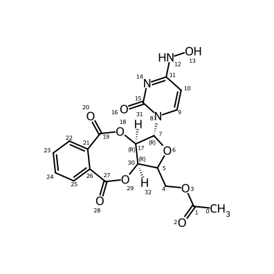 CC(=O)OCC1O[C@@H](n2ccc(NO)nc2=O)[C@@H]2OC(=O)c3ccccc3C(=O)O[C@H]12